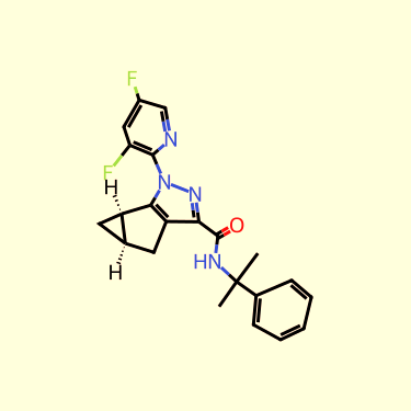 CC(C)(NC(=O)c1nn(-c2ncc(F)cc2F)c2c1C[C@H]1C[C@@H]21)c1ccccc1